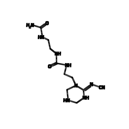 N#C/N=C1\NCNCN1CCNC(=O)NCCNC(N)=O